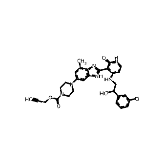 C#CCOC(=O)N1CCN(c2cc(C)c3nc(-c4c(NCC(O)c5cccc(Cl)c5)cc[nH]c4=O)[nH]c3c2)CC1